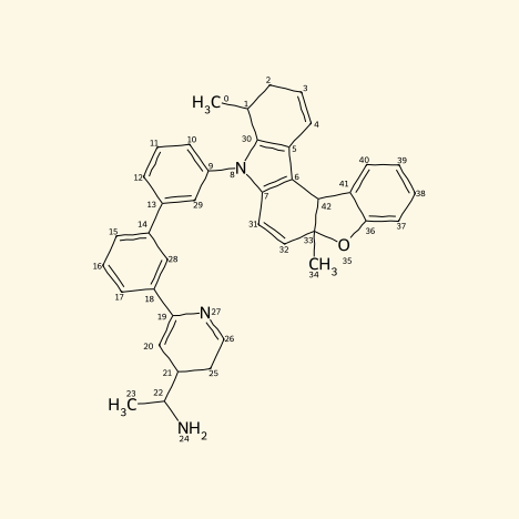 CC1CC=Cc2c3c(n(-c4cccc(-c5cccc(C6=CC(C(C)N)CC=N6)c5)c4)c21)C=CC1(C)Oc2ccccc2C31